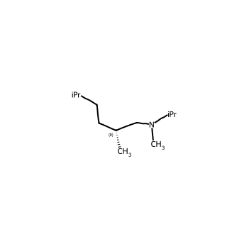 CC(C)CC[C@@H](C)CN(C)C(C)C